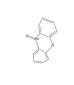 O=[PH]1c2ccccc2Oc2ccccc21